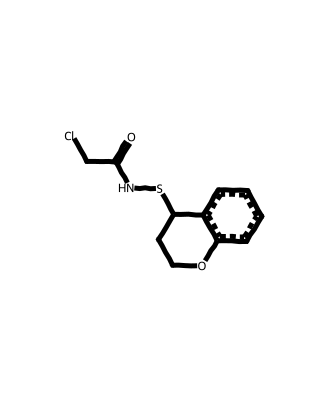 O=C(CCl)NSC1CCOc2ccccc21